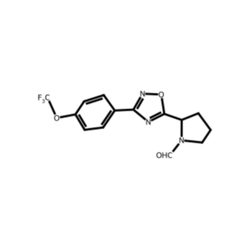 O=CN1CCCC1c1nc(-c2ccc(OC(F)(F)F)cc2)no1